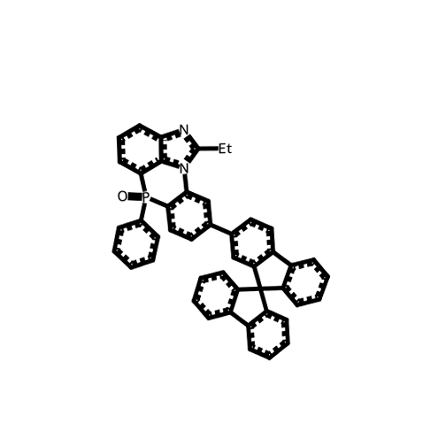 CCc1nc2cccc3c2n1-c1cc(-c2ccc4c(c2)C2(c5ccccc5-c5ccccc52)c2ccccc2-4)ccc1P3(=O)c1ccccc1